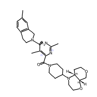 C=C(/C(C)=C(\N=C(\C)N)C(=O)N1CCC(N2CCO[C@H]3COCC[C@H]32)CC1)N1CCc2ccc(C)cc2C1